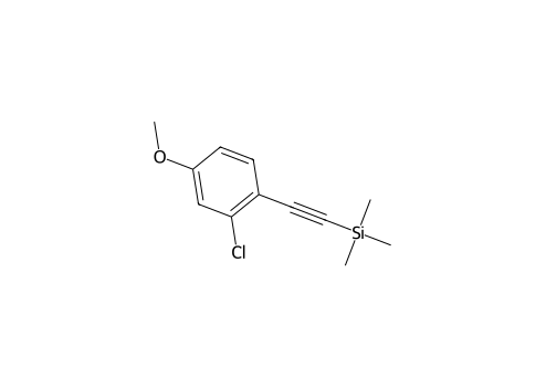 COc1ccc(C#C[Si](C)(C)C)c(Cl)c1